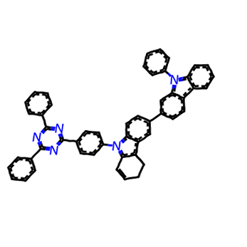 C1=Cc2c(c3cc(-c4ccc5c6ccccc6n(-c6ccccc6)c5c4)ccc3n2-c2ccc(-c3nc(-c4ccccc4)nc(-c4ccccc4)n3)cc2)CC1